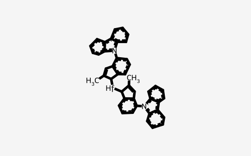 CC1=Cc2c(cccc2-n2c3ccccc3c3ccccc32)[CH]1[Hf][CH]1C(C)=Cc2c1cccc2-n1c2ccccc2c2ccccc21